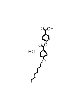 CCCCCCCCOc1ccc(C(=O)Oc2ccc(C(=O)O)cc2)cc1.Cl